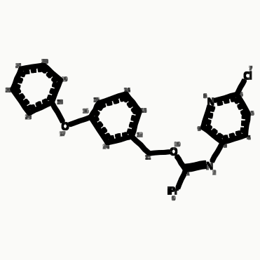 CC(C)C(=Nc1ccc(Cl)nc1)OCc1cccc(Oc2ccccc2)c1